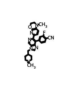 CN1CCC(Cn2cnc3c(-c4ccc(C#N)c(F)c4)c(-c4ccc5c(n4)OCCN5C)ncc32)CC1